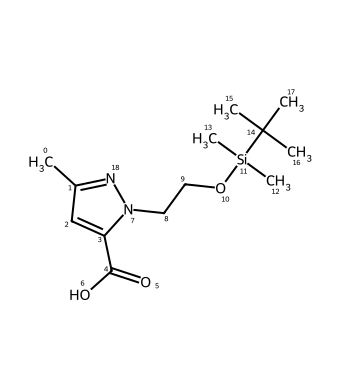 Cc1cc(C(=O)O)n(CCO[Si](C)(C)C(C)(C)C)n1